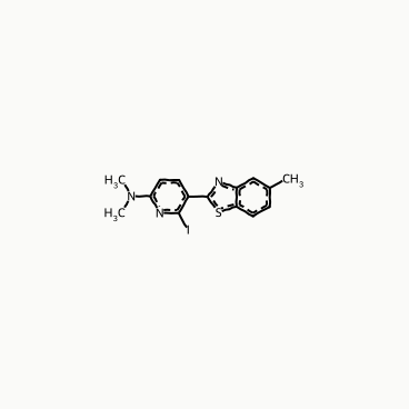 Cc1ccc2sc(-c3ccc(N(C)C)nc3I)nc2c1